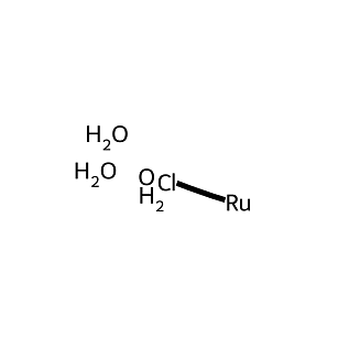 O.O.O.[Cl][Ru]